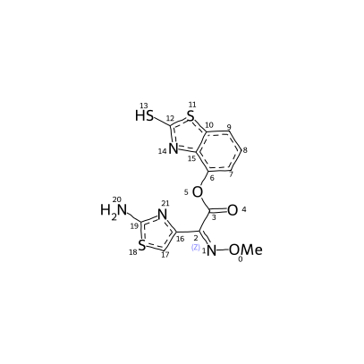 CO/N=C(\C(=O)Oc1cccc2sc(S)nc12)c1csc(N)n1